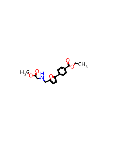 CCOC(=O)c1ccc(-c2ccc(CNCC(=O)OC)o2)cc1